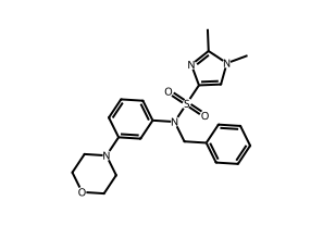 Cc1nc(S(=O)(=O)N(Cc2ccccc2)c2cccc(N3CCOCC3)c2)cn1C